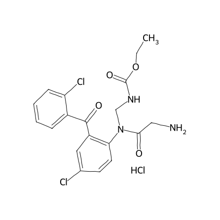 CCOC(=O)NCN(C(=O)CN)c1ccc(Cl)cc1C(=O)c1ccccc1Cl.Cl